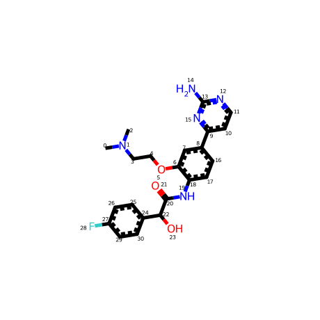 CN(C)CCOc1cc(-c2ccnc(N)n2)ccc1NC(=O)C(O)c1ccc(F)cc1